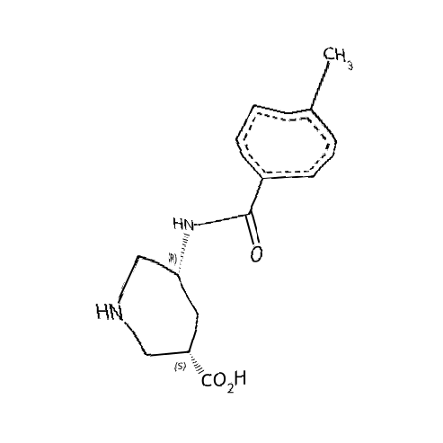 Cc1ccc(C(=O)N[C@H]2CNC[C@@H](C(=O)O)C2)cc1